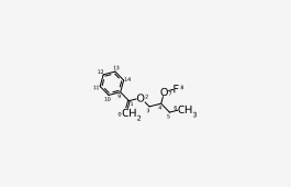 C=C(OCC(CC)OF)c1ccccc1